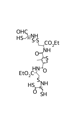 CCOC(=O)C(CSN[C@@H](CS)C(=O)S)NC(=O)c1csc(C(=O)NC(CSSN[C@H](C=O)CS)C(=O)OCC)c1C